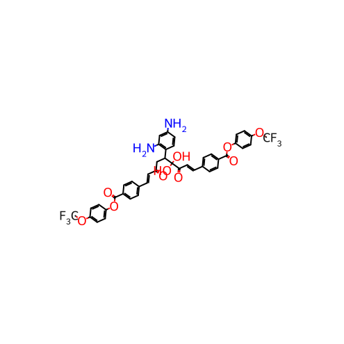 Nc1ccc(C(CC(=O)C=Cc2ccc(C(=O)Oc3ccc(OC(F)(F)F)cc3)cc2)C(O)(O)C(=O)C=Cc2ccc(C(=O)Oc3ccc(OC(F)(F)F)cc3)cc2)c(N)c1